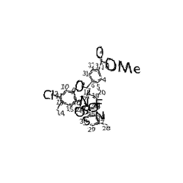 COC(=O)c1ccc(COc2cc(Cl)c(C)cc2N(C[C@H](C)F)S(=O)(=O)c2nc(C)cs2)cc1